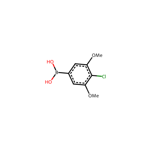 COc1cc(B(O)O)cc(OC)c1Cl